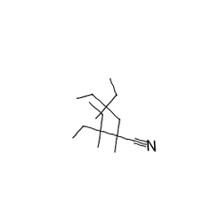 CCC(C)(CC)CC(C)(C#N)C(C)(CC)CC